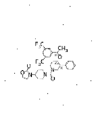 C[C@@H](O[C@H]1CCN(C(=O)N2CCC(N3CCOC3=O)CC2)C[C@H]1c1ccccc1)c1cc(C(F)(F)F)cc(C(F)(F)F)c1